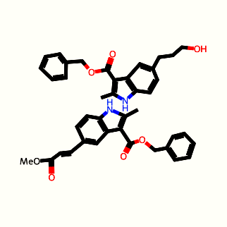 COC(=O)C=Cc1ccc2[nH]c(C)c(C(=O)OCc3ccccc3)c2c1.Cc1[nH]c2ccc(CCCO)cc2c1C(=O)OCc1ccccc1